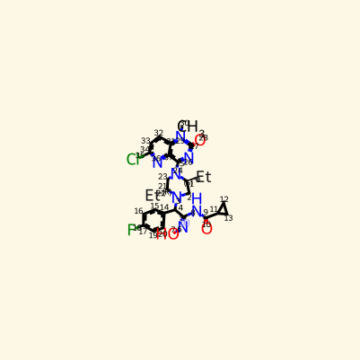 CC[C@H]1CN(C(/C(=N\O)NC(=O)C2CC2)c2ccc(F)cc2)[C@H](CC)CN1c1nc(=O)n(C)c2ccc(Cl)nc12